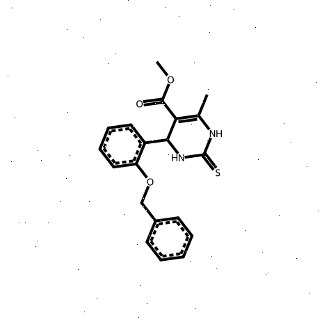 COC(=O)C1=C(C)NC(=S)NC1c1ccccc1OCc1ccccc1